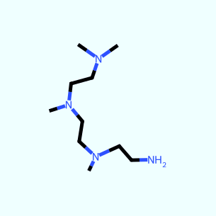 CN(C)CCN(C)CCN(C)CCN